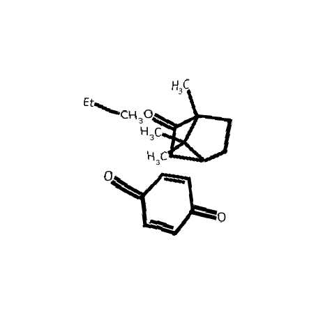 CC12CCC(CC1=O)C2(C)C.CCC.O=C1C=CC(=O)C=C1